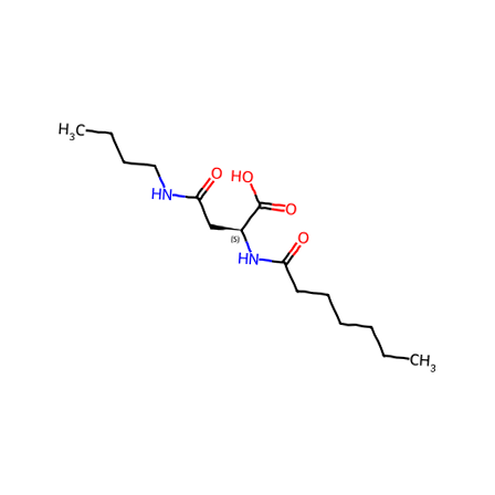 CCCCCCC(=O)N[C@@H](CC(=O)NCCCC)C(=O)O